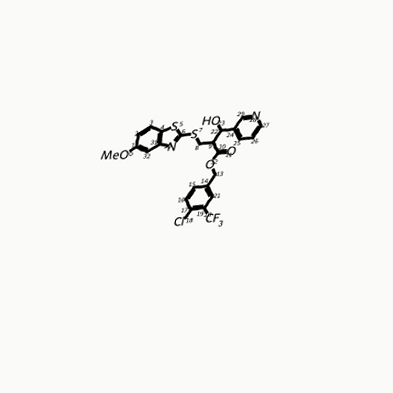 COc1ccc2sc(SCC(C(=O)OCc3ccc(Cl)c(C(F)(F)F)c3)C(O)c3cccnc3)nc2c1